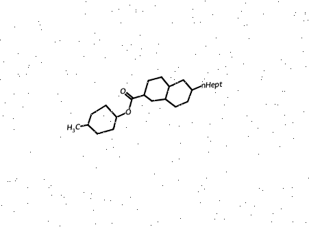 CCCCCCCC1CCC2CC(C(=O)OC3CCC(C)CC3)CCC2C1